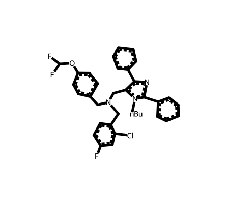 CCCCn1c(-c2ccccc2)nc(-c2ccccc2)c1CN(Cc1ccc(OC(F)F)cc1)Cc1ccc(F)cc1Cl